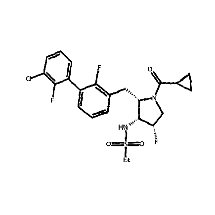 CCS(=O)(=O)N[C@H]1[C@@H](F)CN(C(=O)C2CC2)[C@H]1Cc1cccc(-c2cccc(Cl)c2F)c1F